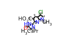 CC(C)C1(C)N=C(c2nc3c(cc2C(=O)O)c(Cl)cn3C)NC1=O